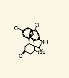 CC(C)(C)[C@H]1CC(=O)C[C@@H](c2cccc(Cl)c2)[C@@]12C(=O)Nc1cc(Cl)ccc12